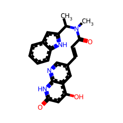 CC(c1cc2ccccc2[nH]1)N(C)C(=O)/C=C/c1cnc2[nH]c(=O)cc(O)c2c1